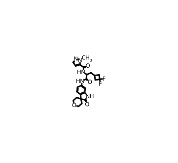 Cn1nccc1C(=O)NC(CC1CC(F)(F)C1)C(=O)Nc1ccc2c(c1)NC(=O)C21CCOCC1